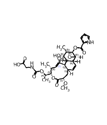 CO[C@H]1C[C@H]2C=C[C@H]3[C@H]4O[C@]2(/C(C)=C/[C@@H](C)[C@@H]([C@@H](C)OC(=O)NCC(=O)O)OC1=O)[C@@H]3[C@H](O)[C@@H](C)[C@H]4OC(=O)c1ccc[nH]1